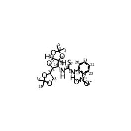 CC1(C)O[C@H]2O[C@H]([C@H]3COC(C)(C)O3)[C@@H](NC(=S)Nc3ccccc3[N+](=O)[O-])[C@H]2O1